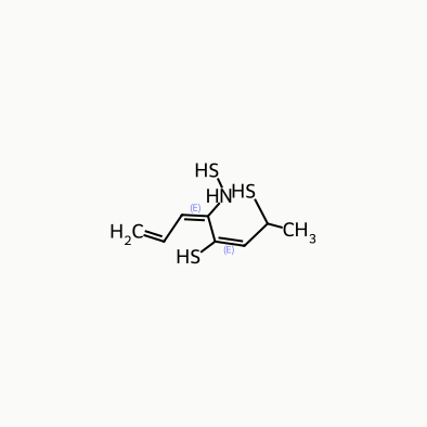 C=C/C=C(NS)\C(S)=C/C(C)S